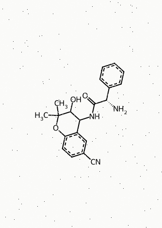 CC1(C)Oc2ccc(C#N)cc2C(NC(=O)[C@@H](N)c2ccccc2)C1O